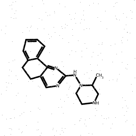 CC1CNCCN1Nc1ncc2c(n1)-c1ccccc1CC2